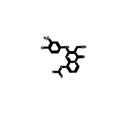 Cc1cc(Nc2nc3c(OC(F)F)cccn3c(=O)c2CO)ccc1Cl